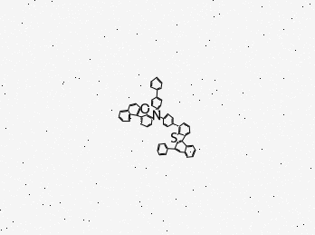 c1ccc(-c2ccc(N(c3ccc(-c4cccc5c4sc4c(-c6ccccc6)cc6ccccc6c45)cc3)c3cccc4c3oc3ccc5ccccc5c34)cc2)cc1